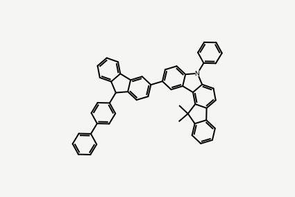 CC1(C)c2ccccc2-c2ccc3c(c21)c1cc(-c2ccc4c(c2)-c2ccccc2C4c2ccc(-c4ccccc4)cc2)ccc1n3-c1ccccc1